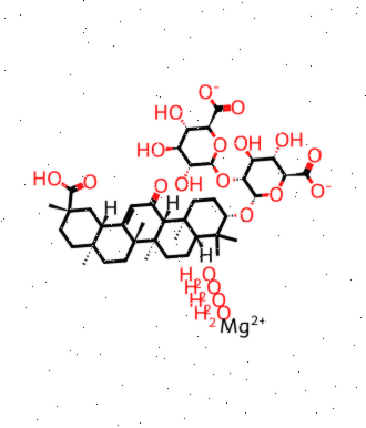 CC1(C)[C@@H](O[C@H]2O[C@H](C(=O)[O-])[C@@H](O)[C@H](O)[C@H]2O[C@@H]2O[C@H](C(=O)[O-])[C@@H](O)[C@H](O)[C@H]2O)CC[C@]2(C)[C@H]3C(=O)C=C4[C@H]5C[C@@](C)(C(=O)O)CC[C@]5(C)CC[C@@]4(C)[C@]3(C)CC[C@@H]12.O.O.O.O.[Mg+2]